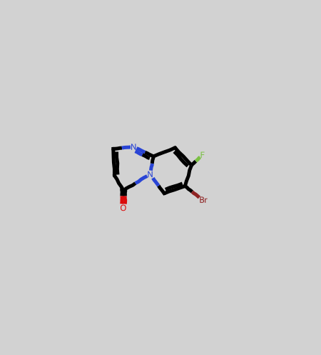 O=c1ccnc2cc(F)c(Br)cn12